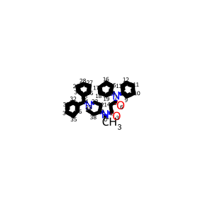 CN(C(=O)CC(=O)N(c1ccccc1)c1ccccc1)C1CCN(C(c2ccccc2)c2ccccc2)CC1